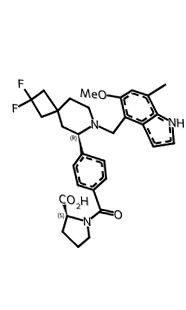 COc1cc(C)c2[nH]ccc2c1CN1CCC2(C[C@@H]1c1ccc(C(=O)N3CCC[C@H]3C(=O)O)cc1)CC(F)(F)C2